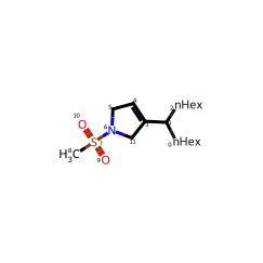 CCCCCCC(CCCCCC)C1=CCN(S(C)(=O)=O)C1